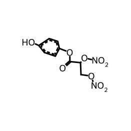 O=C(Oc1ccc(O)cc1)C(CO[N+](=O)[O-])O[N+](=O)[O-]